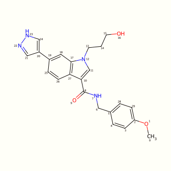 COc1ccc(CNC(=O)c2cn(CCCO)c3cc(-c4cn[nH]c4)ccc23)cc1